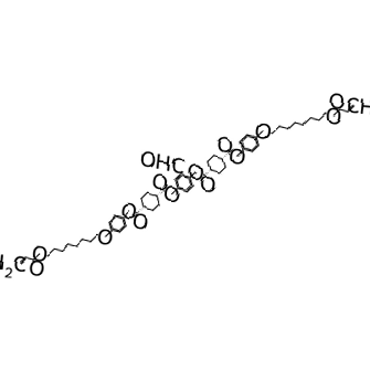 C=CC(=O)OCCCCCCCCOc1ccc(OC(=O)[C@H]2CC[C@@H](C(=O)Oc3ccc(OC(=O)[C@H]4CC[C@@H](C(=O)Oc5ccc(OCCCCCCCCOC(=O)C=C)cc5)CC4)c(C=O)c3)CC2)cc1